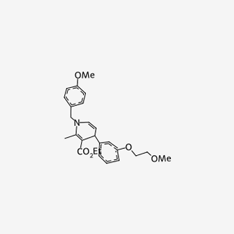 CCOC(=O)C1=C(C)N(Cc2ccc(OC)cc2)C=CC1c1cccc(OCCOC)c1